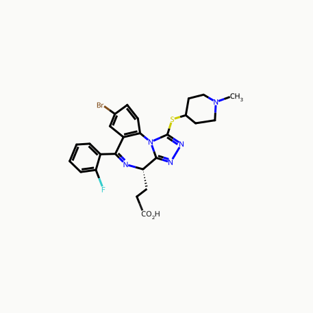 CN1CCC(Sc2nnc3n2-c2ccc(Br)cc2C(c2ccccc2F)=N[C@H]3CCC(=O)O)CC1